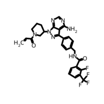 C=CC(=O)N1CCCC(n2nc(-c3ccc(CNC(=O)c4cccc(C(F)(F)F)c4F)cc3)c3c(N)ncnc32)C1